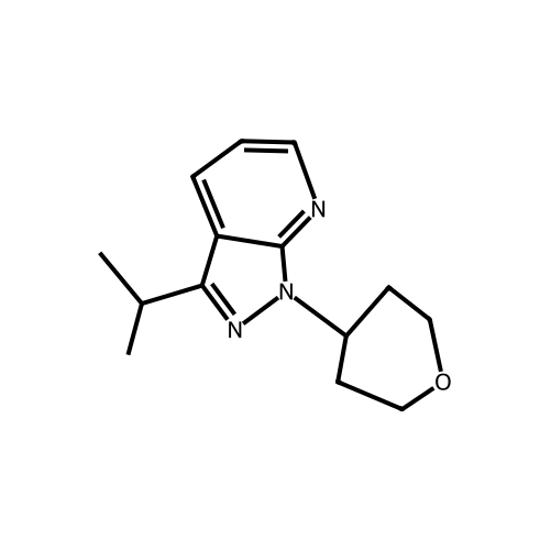 CC(C)c1nn(C2CCOCC2)c2ncccc12